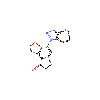 O=C1CCc2cc(-n3nnc4ccccc43)c3c(c21)CCO3